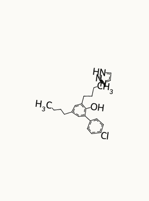 CCCCc1cc(CCCC)c(O)c(-c2ccc(Cl)cc2)c1.c1c[nH]nn1